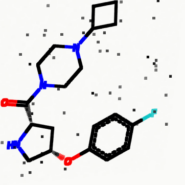 O=C([C@@H]1C[C@H](Oc2ccc(F)cc2)CN1)N1CCN(C2CCC2)CC1